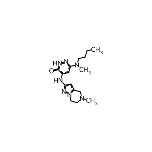 CCCCN(C)c1cc(Nc2cc3n(n2)CCN(C)C3)c(=O)[nH]n1